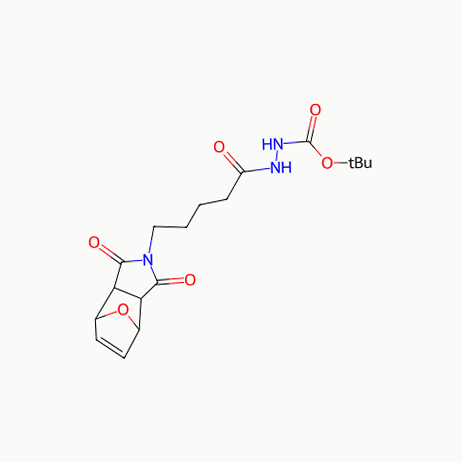 CC(C)(C)OC(=O)NNC(=O)CCCCN1C(=O)C2C3C=CC(O3)C2C1=O